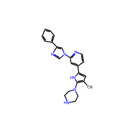 N#Cc1cc(-c2ccnc(-n3cnc(-c4ccccc4)c3)c2)[nH]c1N1CCNCC1